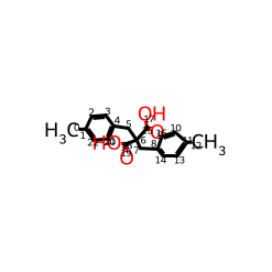 Cc1ccc(CC(Cc2ccc(C)cc2)(C(=O)O)C(=O)O)cc1